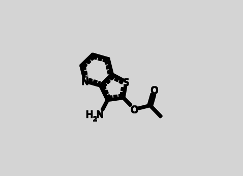 CC(=O)Oc1sc2cccnc2c1N